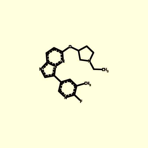 CCN1CCC(Oc2ccc3ncc(-c4cnc(F)c(C)c4)n3n2)C1